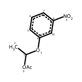 CC(=O)OC(C)Oc1cccc([N+](=O)[O-])c1